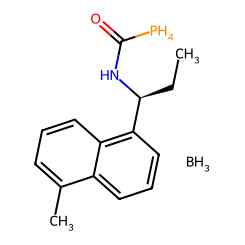 B.CC[C@H](NC(=O)[PH4])c1cccc2c(C)cccc12